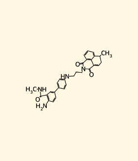 CNC(=O)c1cc(-c2ccc(NCCCN3C(=O)C4=CCC(C)c5cccc(c54)C3=O)cc2)ccc1N